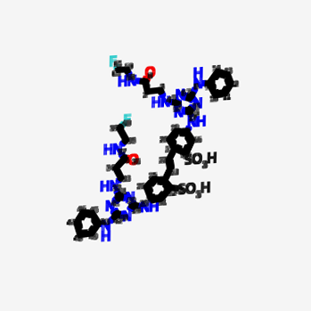 O=C(CCNc1nc(Nc2ccccc2)nc(Nc2ccc(/C=C/c3ccc(Nc4nc(NCCC(=O)NCCF)nc(Nc5ccccc5)n4)cc3S(=O)(=O)O)c(S(=O)(=O)O)c2)n1)NCCF